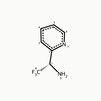 N[C@@H](c1ccccn1)C(F)(F)F